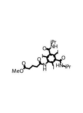 COC(=O)CCCC(=O)Nc1c(I)c(C(=O)NC(C)C)c(I)c(C(=O)NC(C)C)c1I